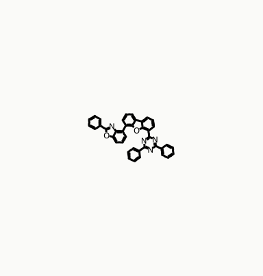 c1ccc(-c2nc(-c3ccccc3)nc(-c3cccc4c3oc3c(-c5cccc6oc(-c7ccccc7)nc56)cccc34)n2)cc1